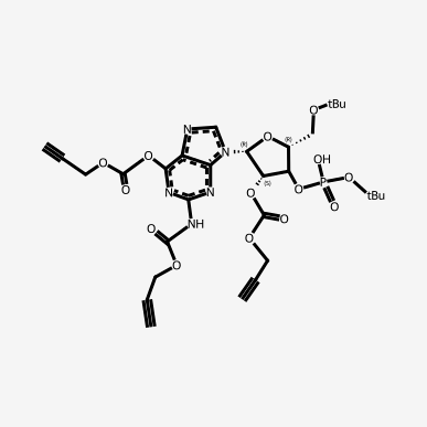 C#CCOC(=O)Nc1nc(OC(=O)OCC#C)c2ncn([C@@H]3O[C@H](COC(C)(C)C)C(OP(=O)(O)OC(C)(C)C)[C@@H]3OC(=O)OCC#C)c2n1